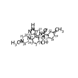 [CH]c1ccc([N+]2(c3n[nH]c4c3CN(S(=O)(=O)c3cccc(C)c3)C4)CCN(C)CC2)cc1